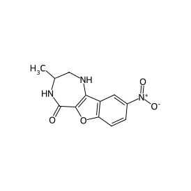 CC1CNc2c(oc3ccc([N+](=O)[O-])cc23)C(=O)N1